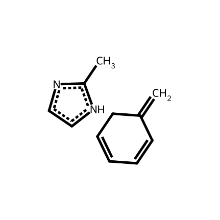 C=C1C=CC=CC1.Cc1ncc[nH]1